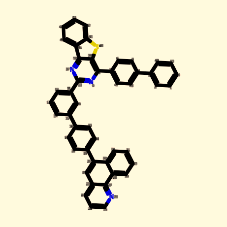 c1ccc(-c2ccc(-c3nc(-c4cccc(-c5ccc(-c6cc7cccnc7c7ccccc67)cc5)c4)nc4c3sc3ccccc34)cc2)cc1